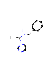 CC(NCc1ccccc1)n1ccnc1